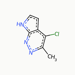 Cc1nnc2[nH]ccc2c1Cl